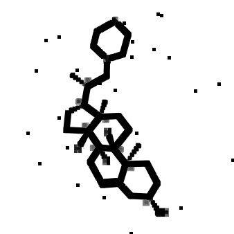 C[C@H](CN1CCSCC1)[C@H]1CC[C@H]2[C@@H]3CC=C4C[C@@H](O)CC[C@]4(C)[C@H]3CC[C@]12C